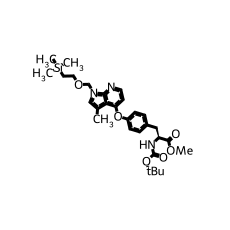 COC(=O)[C@H](Cc1ccc(Oc2ccnc3c2c(C)cn3COCC[Si](C)(C)C)cc1)NC(=O)OC(C)(C)C